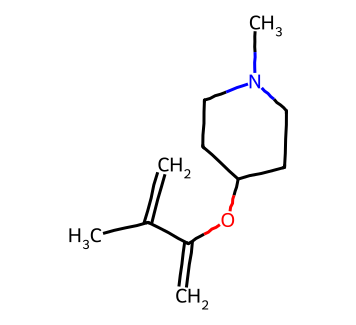 C=C(C)C(=C)OC1CCN(C)CC1